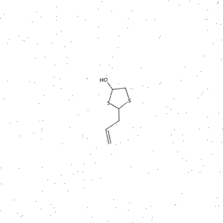 C=CCC1SCC(O)S1